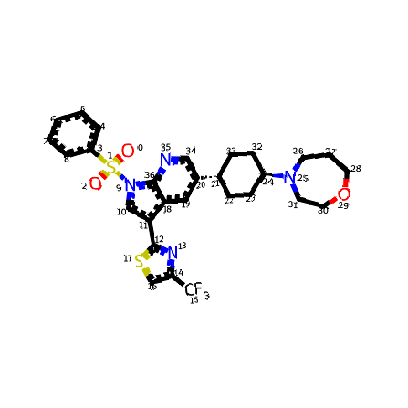 O=S(=O)(c1ccccc1)n1cc(-c2nc(C(F)(F)F)cs2)c2cc([C@H]3CC[C@H](N4CCCOCC4)CC3)cnc21